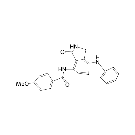 COc1ccc(C(=O)Nc2ccc(Nc3ccccc3)c3c2C(=O)NC3)cc1